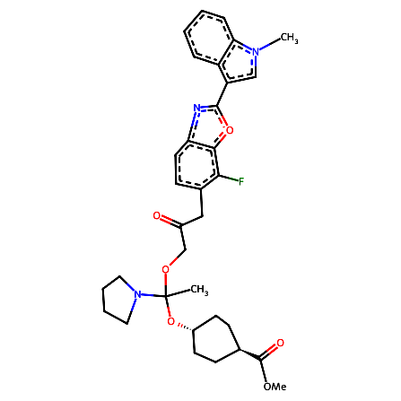 COC(=O)[C@H]1CC[C@H](OC(C)(OCC(=O)Cc2ccc3nc(-c4cn(C)c5ccccc45)oc3c2F)N2CCCC2)CC1